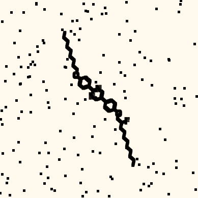 CCCCCCCCCOc1ccc(-c2ncc(-c3ccc(OCC(F)CCCCCCCCC)cc3)cn2)cc1